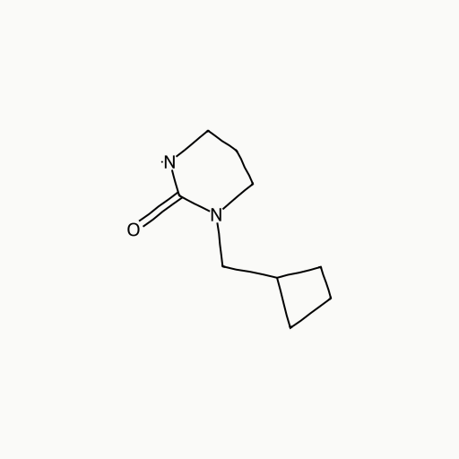 O=C1[N]CCCN1CC1CCC1